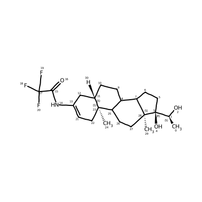 C[C@H](O)[C@@]1(O)CCC2C3CC[C@H]4CC(NC(=O)C(F)(F)F)=CC[C@]4(C)C3CC[C@@]21C